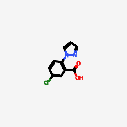 O=C(O)c1cc(Cl)ccc1-n1cccn1